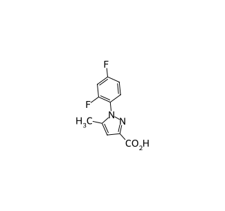 Cc1cc(C(=O)O)nn1-c1ccc(F)cc1F